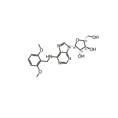 COc1cccc(OC)c1CNc1ncnc2c1ncn2[C@@H]1O[C@H](CO)[C@@H](O)[C@@H]1O